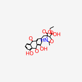 CCOC(=O)C(Cc1cc(O)c2c(c1)C(=O)c1cccc(O)c1C2=O)(NC(C)=O)C(C)C(=O)O